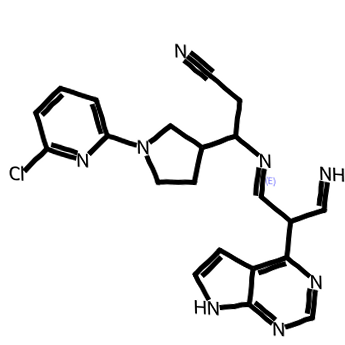 N#CCC(/N=C/C(C=N)c1ncnc2[nH]ccc12)C1CCN(c2cccc(Cl)n2)C1